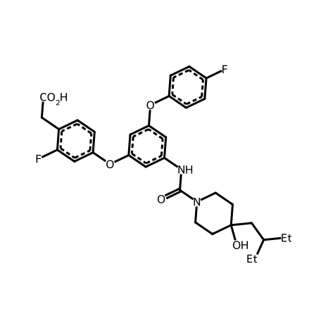 CCC(CC)CC1(O)CCN(C(=O)Nc2cc(Oc3ccc(F)cc3)cc(Oc3ccc(CC(=O)O)c(F)c3)c2)CC1